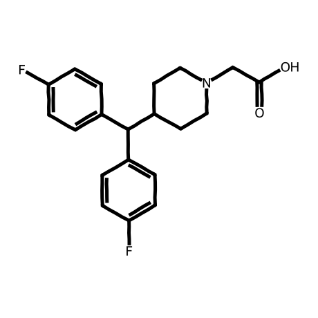 O=C(O)CN1CCC(C(c2ccc(F)cc2)c2ccc(F)cc2)CC1